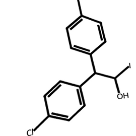 N#Cc1ccc(C(c2ccc(Cl)cc2)C(O)I)cc1